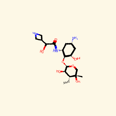 CN[C@@H]1[C@@H](O)[C@@H](O[C@@H]2[C@@H](O)C[C@@H](N)C[C@H]2NC(=O)C(O)C2CNC2)OC[C@]1(C)O